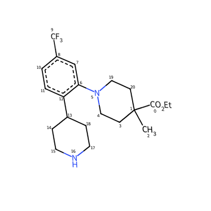 CCOC(=O)C1(C)CCN(c2cc(C(F)(F)F)ccc2C2CCNCC2)CC1